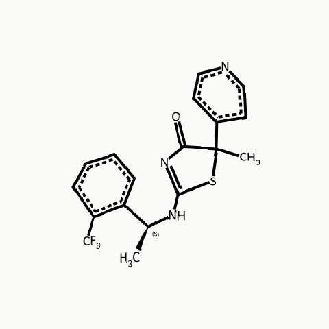 C[C@H](NC1=NC(=O)C(C)(c2ccncc2)S1)c1ccccc1C(F)(F)F